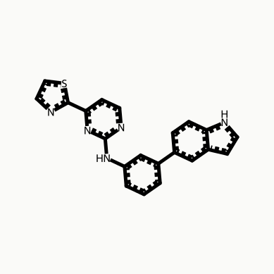 c1cc(Nc2nccc(-c3nccs3)n2)cc(-c2ccc3[nH]ccc3c2)c1